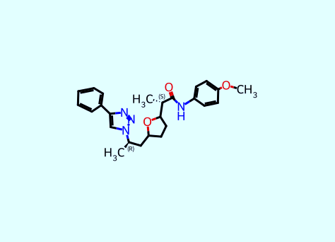 COc1ccc(NC(=O)[C@@H](C)C2CCC(C[C@@H](C)n3cc(-c4ccccc4)nn3)O2)cc1